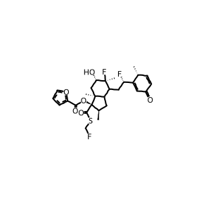 C[C@@H]1C=CC(=O)C=C1[C@@H](F)CC1C2C[C@@H](C)[C@](OC(=O)c3ccco3)(C(=O)SCF)[C@@]2(C)C[C@H](O)[C@@]1(C)F